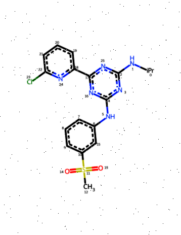 CC(C)Nc1nc(Nc2cccc(S(C)(=O)=O)c2)nc(-c2cccc(Cl)n2)n1